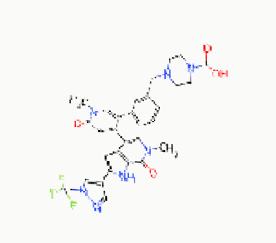 Cn1cc(-c2cccc(CN3CCN(C(=O)O)CC3)c2)c(-c2cn(C)c(=O)c3[nH]c(-c4cnn(C(F)(F)F)c4)cc23)cc1=O